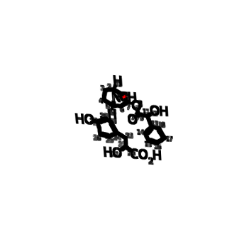 CN1[C@@H]2CC[C@H]1C[C@@H](OC(=O)C(O)c1ccccc1)C2.O=C(O)C(O)Cc1ccc(O)cc1